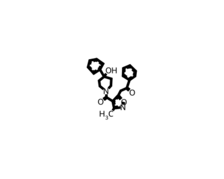 Cc1noc(CC(=O)c2ccccc2)c1C(=O)N1CCC(O)(c2ccccc2)CC1